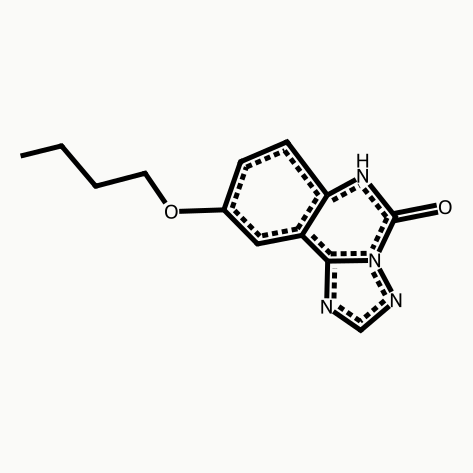 CCCCOc1ccc2[nH]c(=O)n3ncnc3c2c1